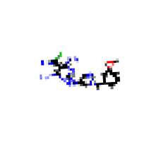 COc1cccc(Cn2cc(Nc3nc(N)c(C(=N)Cl)c(N)n3)cn2)c1